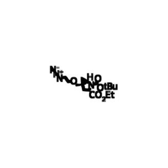 CCOC(=O)[C@@H]1C[C@]2(COCCN=[N+]=[N-])C[C@@H]2N1C(=O)OC(C)(C)C